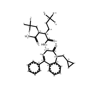 CC(F)(F)C[C@H](C(N)=O)[C@@H](CCC(F)(F)F)C(=O)N[C@H]1N=C(c2ccccc2)c2ccccc2N(CC2CC2)C1=O